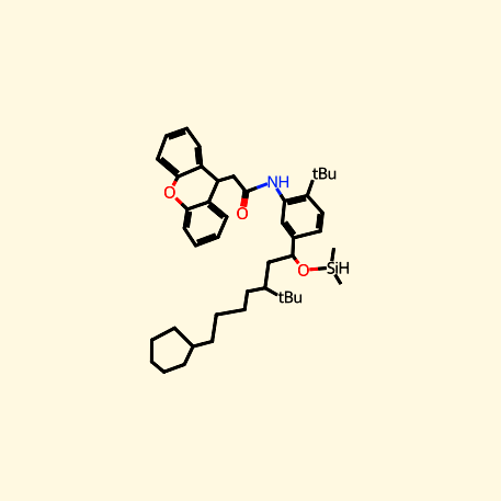 C[SiH](C)OC(CC(CCCCC1CCCCC1)C(C)(C)C)c1ccc(C(C)(C)C)c(NC(=O)CC2c3ccccc3Oc3ccccc32)c1